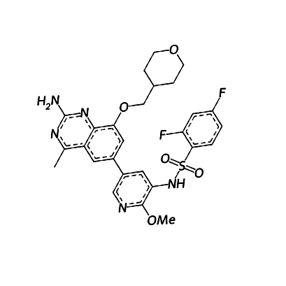 COc1ncc(-c2cc(OCC3CCOCC3)c3nc(N)nc(C)c3c2)cc1NS(=O)(=O)c1ccc(F)cc1F